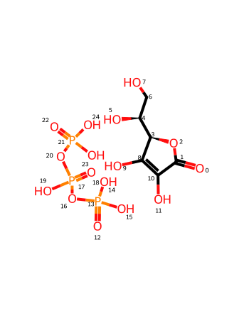 O=C1O[C@H]([C@@H](O)CO)C(O)=C1O.O=P(O)(O)OP(=O)(O)OP(=O)(O)O